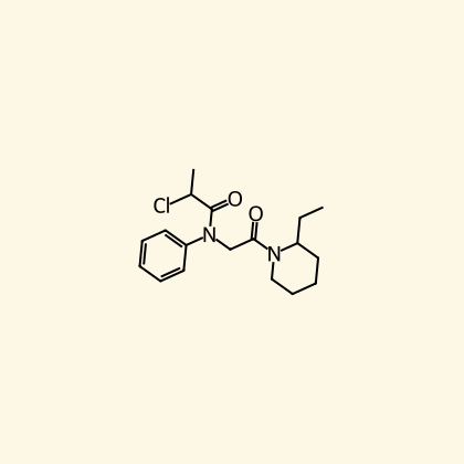 CCC1CCCCN1C(=O)CN(C(=O)C(C)Cl)c1ccccc1